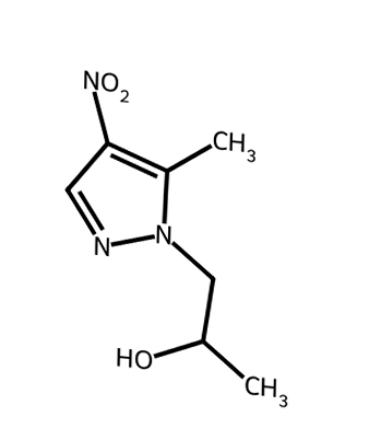 Cc1c([N+](=O)[O-])cnn1CC(C)O